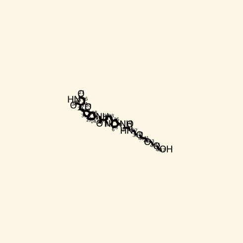 O=C(CNc1ccc2nc(C(=O)Nc3ccc4c(c3)C(=O)/C(=C\C3CCC(=O)NC3=O)C4)ccc2c1)NCCOCCOCCOCO